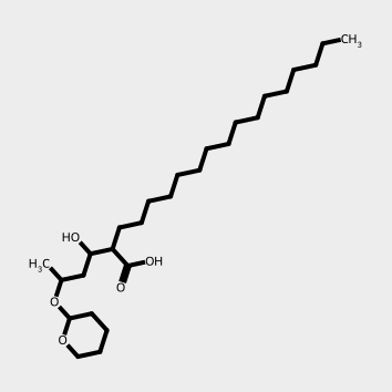 CCCCCCCCCCCCCCCCC(C(=O)O)C(O)CC(C)OC1CCCCO1